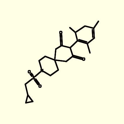 CC1=CC(C)=C(C2C(=O)CC3(CCN(S(=O)(=O)CC4CC4)CC3)CC2=O)C(C)C1